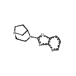 c1cnc2nc(N3CC[N@@]4CCC3C4)oc2c1